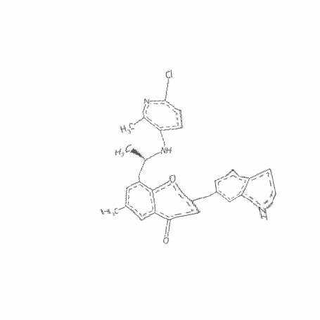 Cc1cc([C@@H](C)Nc2ccc(Cl)nc2C)c2oc(-c3ccc4cc[nH]c4c3)cc(=O)c2c1